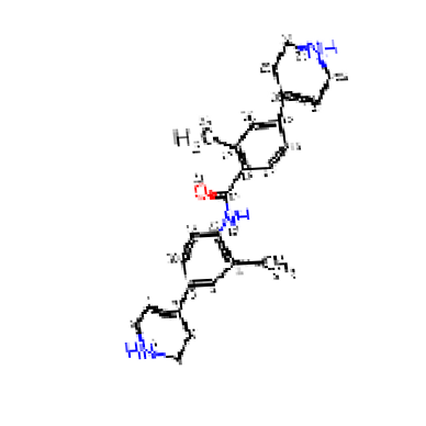 Cc1cc(C2=CCNCC2)ccc1NC(=O)c1ccc(C2=CCNCC2)cc1C